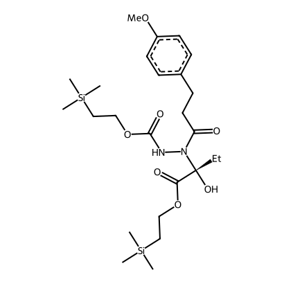 CC[C@@](O)(C(=O)OCC[Si](C)(C)C)N(NC(=O)OCC[Si](C)(C)C)C(=O)CCc1ccc(OC)cc1